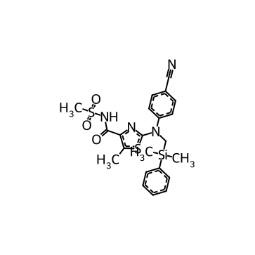 Cc1sc(N(C[Si](C)(C)c2ccccc2)c2ccc(C#N)cc2)nc1C(=O)NS(C)(=O)=O